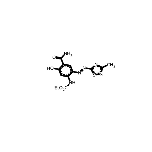 CCOC(=O)Nc1cc(O)c(C(N)=O)cc1/N=N/c1nc(C)ns1